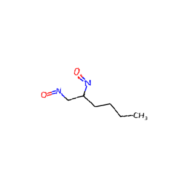 CCCCC(CN=O)N=O